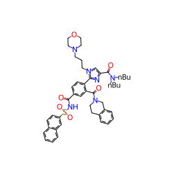 CCCCN(CCCC)C(=O)c1cn(CCCN2CCOCC2)c(-c2ccc(C(=O)NS(=O)(=O)c3ccc4ccccc4c3)cc2C(=O)N2CCc3ccccc3C2)n1